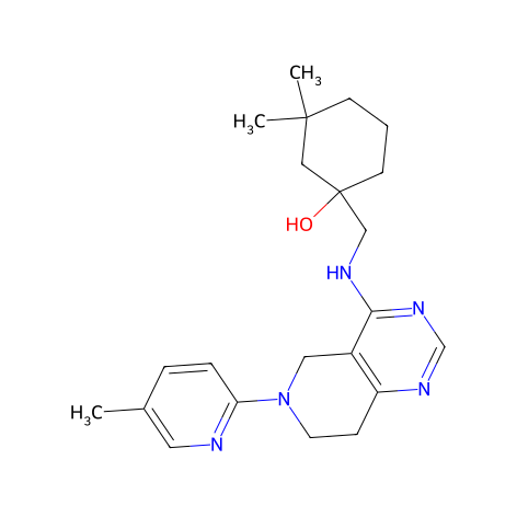 Cc1ccc(N2CCc3ncnc(NCC4(O)CCCC(C)(C)C4)c3C2)nc1